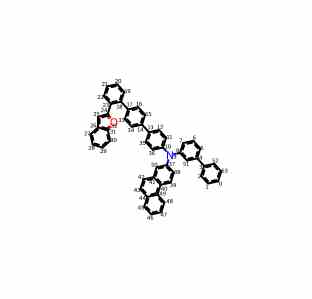 c1ccc(-c2cccc(N(c3ccc(-c4ccc(-c5ccccc5-c5cc6ccccc6o5)cc4)cc3)c3ccc4c(ccc5ccccc54)c3)c2)cc1